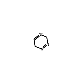 C1=[N+]CN=NC1